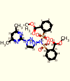 COC(=O)c1ccccc1S(=O)(=O)N(N1C=CN(c2nc(C)cc(C)n2)N1)S(=O)(=O)c1ccccc1C(=O)OC